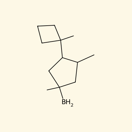 BC1(C)CC(C)C(C2(C)CCC2)C1